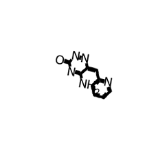 NC1=NC(=O)N=NC1=Cc1ccccn1